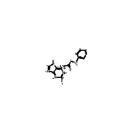 O=C(COc1ccccc1)Nc1nc(F)nc2nc[nH]c12